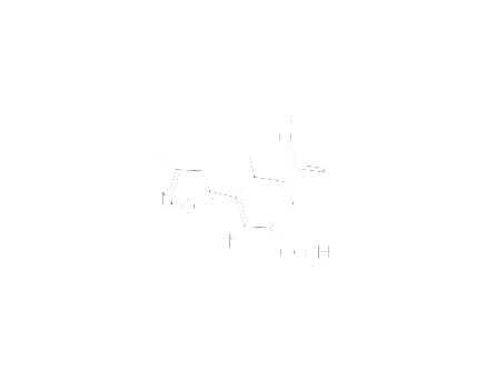 CC1=NOC(C2=C(Cl)C(C(=O)O)=CC(=S(=O)=O)C2C)C1